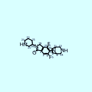 O=C1c2cc(F)c(N3C4CCC3CNC4)c(F)c2CN1C1CCCNC1